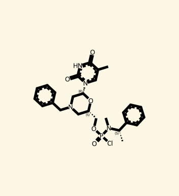 Cc1cn([C@H]2CN(Cc3ccccc3)C[C@@H](COP(=O)(Cl)N(C)[C@@H](C)c3ccccc3)O2)c(=O)[nH]c1=O